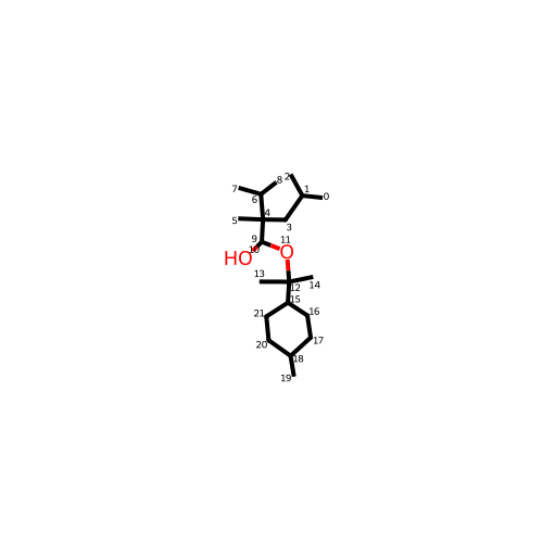 CC(C)CC(C)(C(C)C)C(O)OC(C)(C)C1CCC(C)CC1